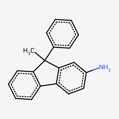 CC1(c2ccccc2)c2ccccc2-c2ccc(N)cc21